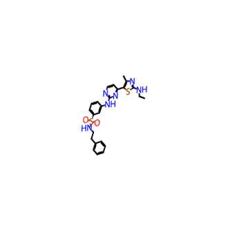 CCNc1nc(C)c(-c2ccnc(Nc3cccc(S(=O)(=O)NCCc4ccccc4)c3)n2)s1